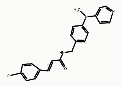 CN(c1ccncc1)c1ccc(CNC(=O)/C=C/c2ccc(Cl)cc2)cc1